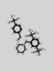 FC(F)(F)c1ccc(CC[C@H]2CCCCN2Cc2cc(C(F)(F)F)ccc2C(F)(F)F)cc1